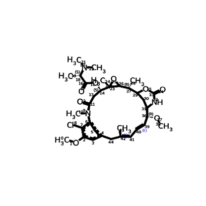 COc1cc2cc(c1Cl)N(C)C(=O)C[C@H](OC(=O)[C@H](C)N(C)C)[C@]1(C)OC1[C@H](C)C1CC(NC(=O)O1)[C@H](OC)/C=C/C=C(\C)C2